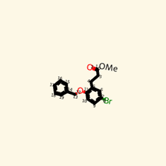 COC(=O)CCc1cc(Br)ccc1OCc1ccccc1